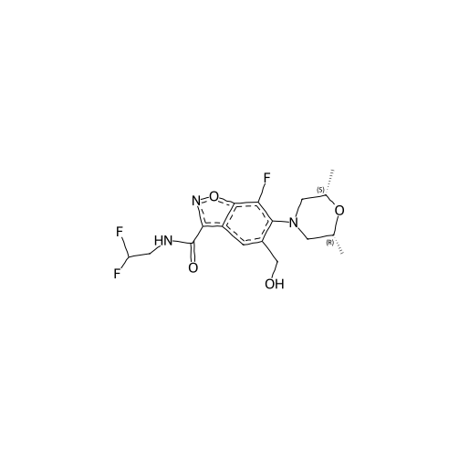 C[C@@H]1CN(c2c(CO)cc3c(C(=O)NCC(F)F)noc3c2F)C[C@H](C)O1